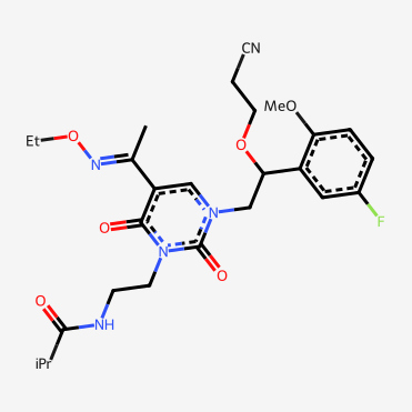 CCON=C(C)c1cn(CC(OCCC#N)c2cc(F)ccc2OC)c(=O)n(CCNC(=O)C(C)C)c1=O